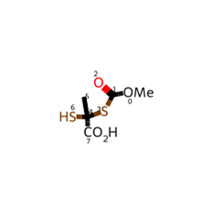 COC(=O)SC(C)(S)C(=O)O